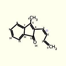 C=C/C=C\C1=C(C)c2ccccc2C1=O